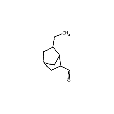 CCC1CC2C[C]1C(C=O)C2